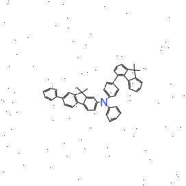 CC1(C)c2cc(-c3ccccc3)ccc2-c2ccc(N(c3ccccc3)c3ccc(-c4cccc5c4-c4ccccc4C5(C)C)cc3)cc21